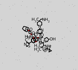 Cc1ncsc1-c1ccc(CNC(=O)[C@@H]2C[C@@H](O)CN2C(=O)[C@@H](NC(=O)C2(F)CC2)C(C)(C)C)c(OCCN2CC3CCC(C2)N3C(=O)CC(=O)Nc2cccc(Sc3cnc(N4CCC(C)(CN)CC4)cn3)c2Cl)c1